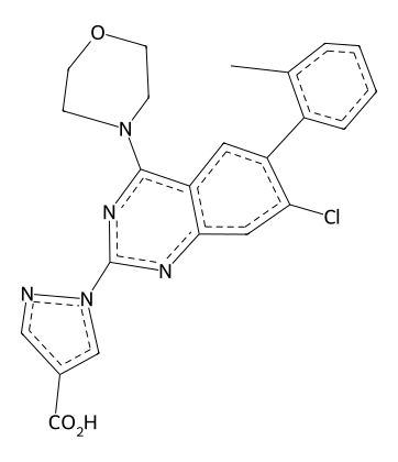 Cc1ccccc1-c1cc2c(N3CCOCC3)nc(-n3cc(C(=O)O)cn3)nc2cc1Cl